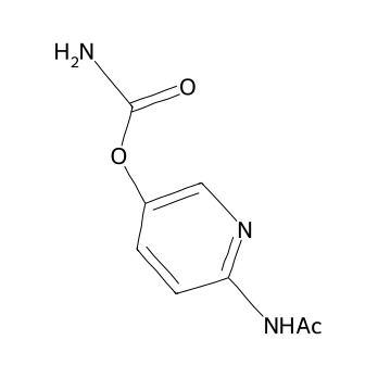 CC(=O)Nc1ccc(OC(N)=O)cn1